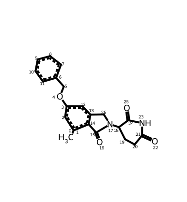 Cc1cc(OCc2ccccc2)cc2c1C(=O)N(C1CCC(=O)NC1=O)C2